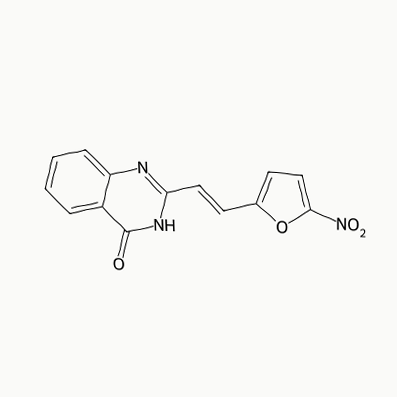 O=c1[nH]c(C=Cc2ccc([N+](=O)[O-])o2)nc2ccccc12